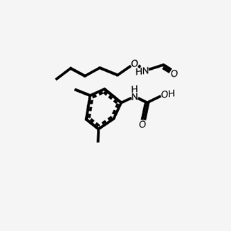 CCCCCONC=O.Cc1cc(C)cc(NC(=O)O)c1